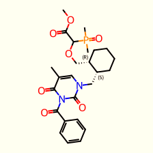 COC(=O)C(OC[C@@H]1CCCC[C@@H]1Cn1cc(C)c(=O)n(C(=O)c2ccccc2)c1=O)P(C)(C)=O